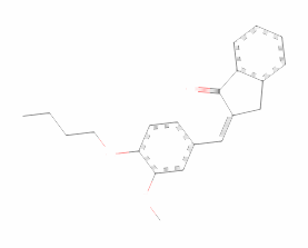 CCCCOc1ccc(/C=C2/Cc3ccccc3C2=O)cc1OC